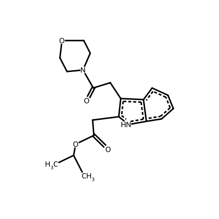 CC(C)OC(=O)Cc1[nH]c2ccccc2c1CC(=O)N1CCOCC1